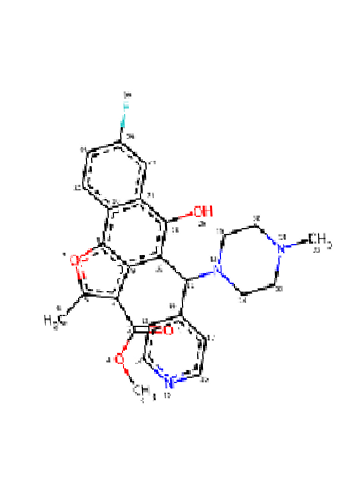 COC(=O)c1c(C)oc2c1c(C(c1ccncc1)N1CCN(C)CC1)c(O)c1cc(F)ccc12